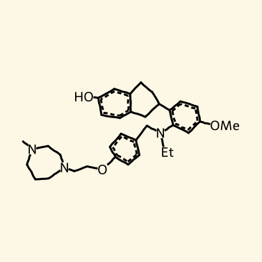 CCN(Cc1ccc(OCCN2CCCN(C)CC2)cc1)c1cc(OC)ccc1C1CCc2cc(O)ccc2C1